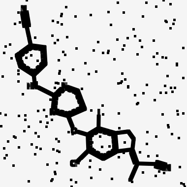 C/C(C#N)=C1/CCc2c1cc(Cl)c(Oc1ccnc(Nc3ccc(C#N)cc3)n1)c2I